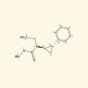 CC(C)(C)OC(=O)N(CC(=O)O)[C@@H]1C[C@H]1c1ccccc1